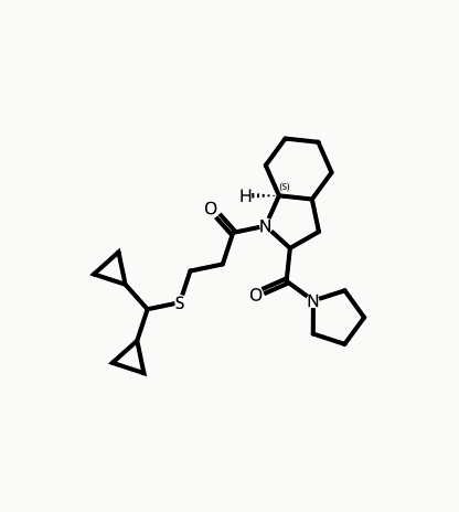 O=C(C1CC2CCCC[C@@H]2N1C(=O)CCSC(C1CC1)C1CC1)N1CCCC1